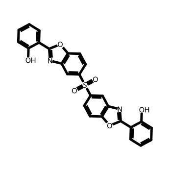 O=S(=O)(c1ccc2oc(-c3ccccc3O)nc2c1)c1ccc2oc(-c3ccccc3O)nc2c1